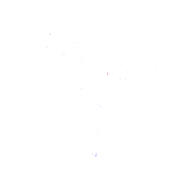 CN1CC[N+](C)(CCCOc2ccc(N)cc2N)CC1.Cl.Cl.Cl.O.O.[Cl-]